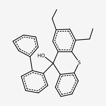 CCc1cc(CC)c2c(c1)C(O)(c1ccccc1-c1ccccc1)c1ccccc1S2